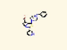 O=C=C1C=CN2C(c3cccnc3)SC(N3CCN(Cc4ccccc4)CC3)C12